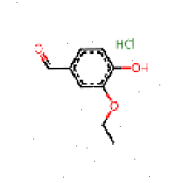 CCOc1cc(C=O)ccc1O.Cl